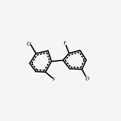 Fc1c[c]c(Cl)cc1-c1cc(Cl)ccc1F